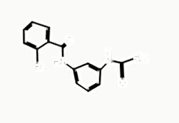 CC(C)(C)C(=O)Nc1cccc(NC(=O)c2ccccc2Br)c1